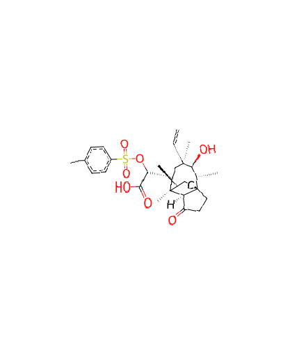 C=C[C@]1(C)C[C@@H](C(OS(=O)(=O)c2ccc(C)cc2)C(=O)O)[C@@]2(C)[C@H](C)CC[C@]3(CCC(=O)[C@H]32)[C@@H](C)[C@@H]1O